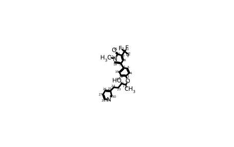 C[C@H](Oc1ccc(-c2cc(C(F)(F)F)c(=O)n(C)c2)cc1)[C@H](O)CCc1cccnc1